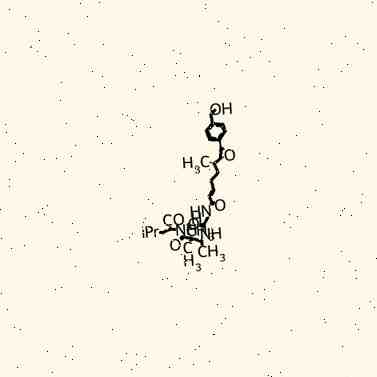 CC(C)C[C@H](NC(=O)C(C)(C)C(C)NC(=O)CNC(=O)/C=C/CC[C@H](C)[C@H]1O[C@@H]1c1ccc(CO)cc1)C(=O)O